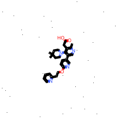 Cc1ncc(-c2ccc(OCCc3ccccn3)nc2)c(N2CCC(C)(C)CC2)c1CC(=O)O